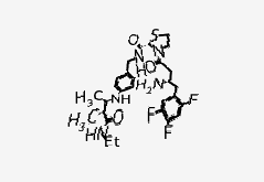 CCNC(=O)[C@H](C)C(C)Nc1ccc(CNC(=O)[C@@H]2SCCN2C(=O)C[C@H](N)Cc2cc(F)c(F)cc2F)cc1